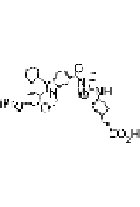 CC(C)Oc1ccc2c(c1)OCCn1c-2c(C2CCCCC2)c2ccc(C(=O)NC3(C(=O)Nc4ccc(C=CC(=O)O)cc4)CCC3)cc21